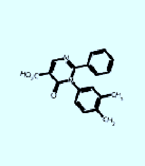 Cc1ccc(-n2c(-c3ccccc3)ncc(C(=O)O)c2=O)cc1C